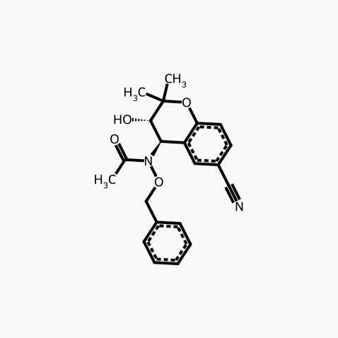 CC(=O)N(OCc1ccccc1)[C@@H]1c2cc(C#N)ccc2OC(C)(C)[C@H]1O